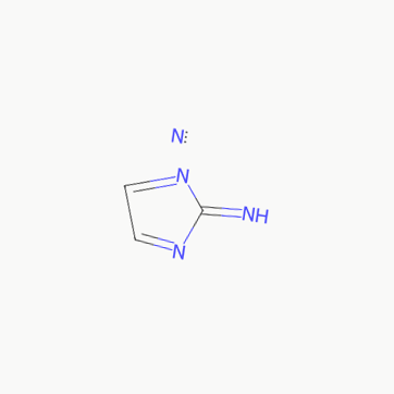 N=C1N=CC=N1.[N]